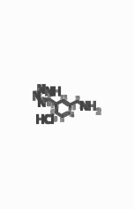 Cl.NCc1cccc(-c2nnn[nH]2)c1